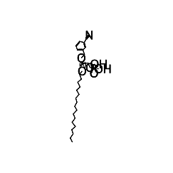 CCCCCCCCCCCCCCCCCCOC[C@H](COP(=O)(O)O)OCc1cccc(C#N)c1